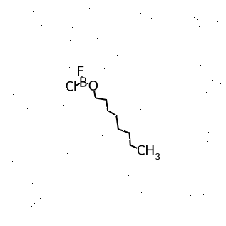 CCCCCCCCOB(F)Cl